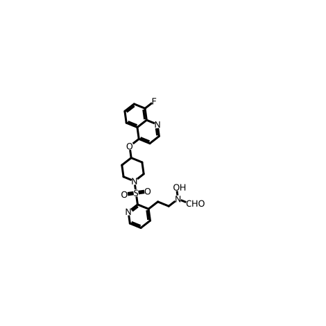 O=CN(O)CCc1cccnc1S(=O)(=O)N1CCC(Oc2ccnc3c(F)cccc23)CC1